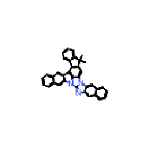 CC1(C)c2ccccc2-c2c1cc1c3c2c2cc4ccccc4cc2n3c2nc3cc4ccccc4cc3n12